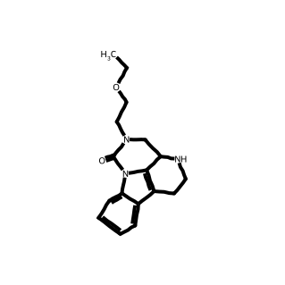 CCOCCN1CC2NCCc3c2n(c2ccccc32)C1=O